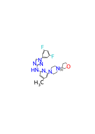 Cc1cc(Nc2ncn(-c3cc(F)cc(F)c3)n2)nc(N2CCN([C@H]3CCOC3)CC2)c1